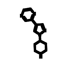 c1cnc(-c2cnn(C3CCNCC3)c2)cn1